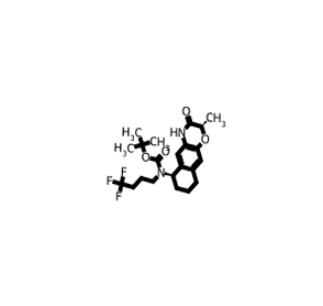 C[C@@H]1Oc2cc3c(cc2NC1=O)[C@H](N(CCCC(F)(F)F)C(=O)OC(C)(C)C)CCC3